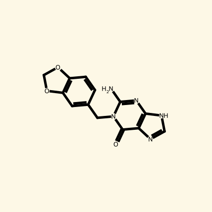 Nc1nc2[nH]cnc2c(=O)n1Cc1ccc2c(c1)OCO2